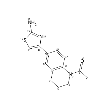 CC(=O)N1CCCc2cc(-c3csc(N)n3)ccc21